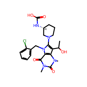 CC(O)c1c(N2CCC[C@@H](NC(=O)O)C2)n(Cc2ccccc2Cl)c2c(=O)n(C)c(=O)n(C)c12